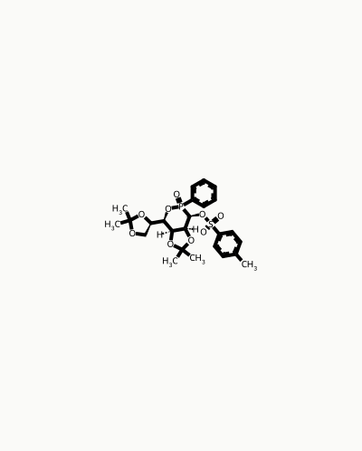 Cc1ccc(S(=O)(=O)O[C@H]2[C@H]3OC(C)(C)O[C@H]3[C@@H]([C@H]3COC(C)(C)O3)OP2(=O)c2ccccc2)cc1